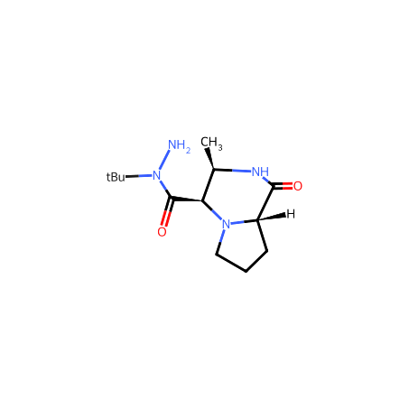 C[C@H]1NC(=O)[C@@H]2CCCN2[C@H]1C(=O)N(N)C(C)(C)C